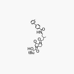 CC(CCNC(=O)c1ccc(-c2cccs2)cc1)CC(=O)N1CCC2C1C(=O)CN2C(=O)C(O)C(C)(C)C